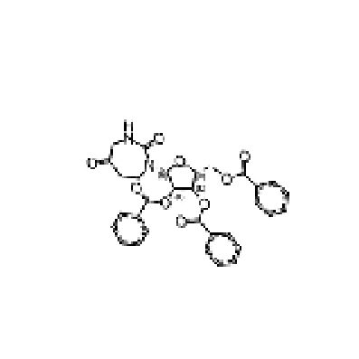 O=C1CCN([C@@H]2O[C@H](COC(=O)c3ccccc3)[C@@H](OC(=O)c3ccccc3)[C@H]2OC(=O)c2ccccc2)C(=O)NC1